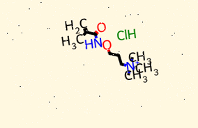 C=C(C)C(=O)NOCCC[N+](C)(C)C.Cl